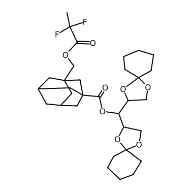 CC(F)(F)C(=O)OCC12CC3CC(C1)CC(C(=O)OC(C1COC4(CCCCC4)O1)C1COC4(CCCCC4)O1)(C3)C2